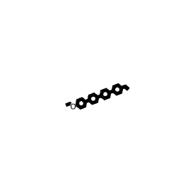 C=CC1CCC(C2CCC(C3CCC(C4CCC(OCC)CC4)CC3)CC2)CC1